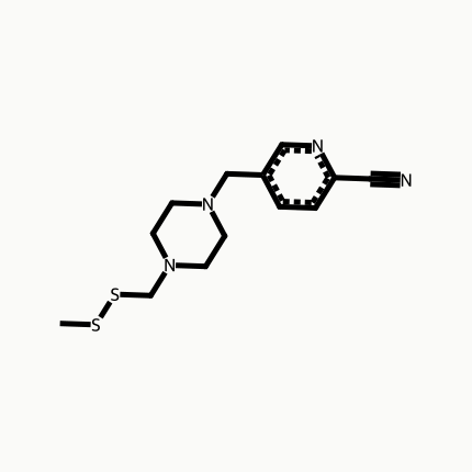 CSSCN1CCN(Cc2ccc(C#N)nc2)CC1